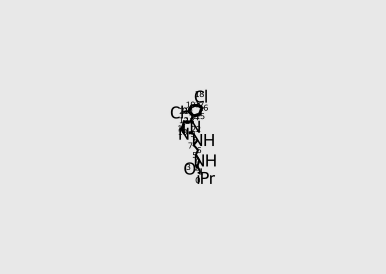 CC(C)CC(=O)NCCCNc1nccc(-c2ccc(Cl)cc2Cl)n1